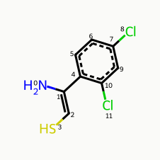 N/C(=C\S)c1ccc(Cl)cc1Cl